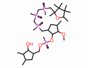 C=P(C)(CC1CC(C)C(OC)C1OP(=C)(C)OCC1CC(C)C(C)C1O)CP(=C)(C)CP(=C)(C)CC1(C)OC(C)C(C)(C)C1(C)C